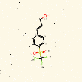 O=S(=O)(c1ccc(C=CCO)cc1)C(F)(F)F